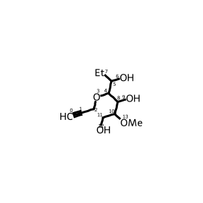 C#CCOC(C(O)CC)C(O)C(CO)OC